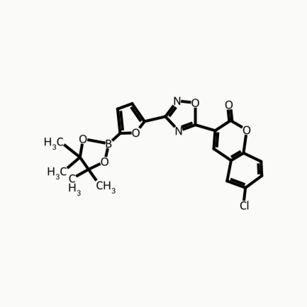 CC1(C)OB(c2ccc(-c3noc(-c4cc5cc(Cl)ccc5oc4=O)n3)o2)OC1(C)C